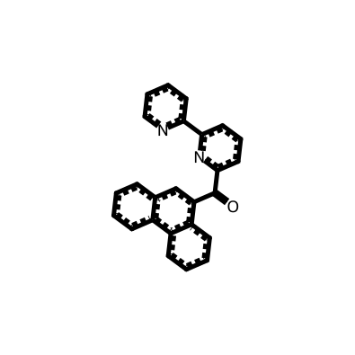 O=C(c1cccc(-c2ccccn2)n1)c1cc2ccccc2c2ccccc12